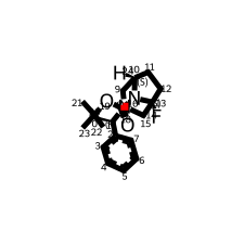 C[C@H](c1ccccc1)N1C[C@@H]2CC[C@](F)(C1)N2C(=O)OC(C)(C)C